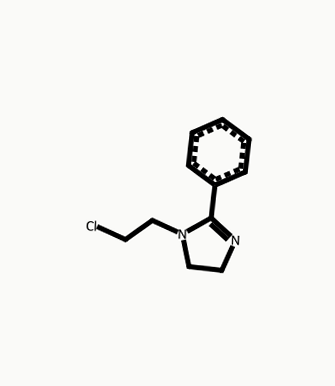 ClCCN1CCN=C1c1ccccc1